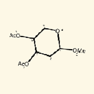 COC1CC(OC(C)=O)C(OC(C)=O)CO1